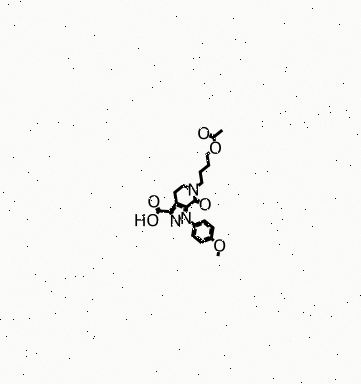 COc1ccc(-n2nc(C(=O)O)c3c2C(=O)N(CCCCOC(C)=O)CC3)cc1